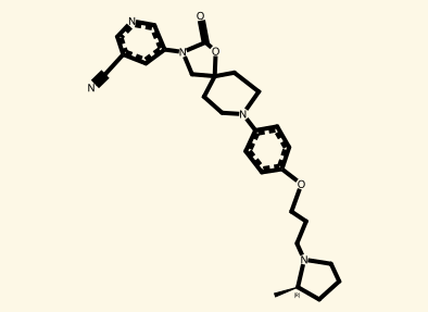 C[C@@H]1CCCN1CCCOc1ccc(N2CCC3(CC2)CN(c2cncc(C#N)c2)C(=O)O3)cc1